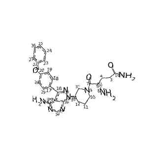 NC(=O)CC[C@H](N)C(=O)N1CCC[C@@H](n2nc(-c3ccc(Oc4ccccc4)cc3)c3c(N)ncnc32)C1